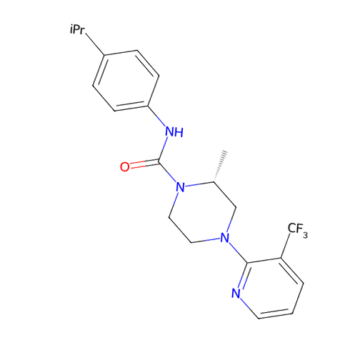 CC(C)c1ccc(NC(=O)N2CCN(c3ncccc3C(F)(F)F)C[C@H]2C)cc1